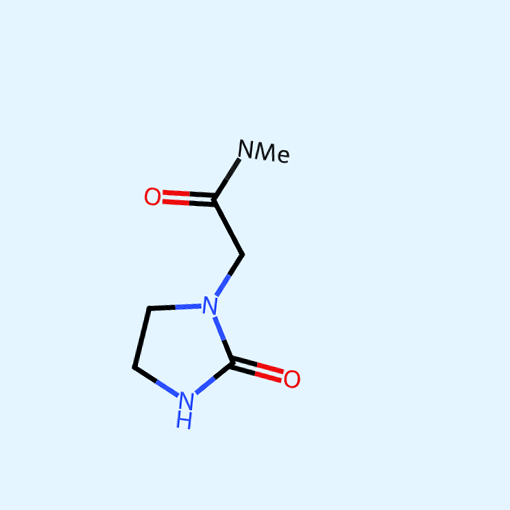 CNC(=O)CN1CCNC1=O